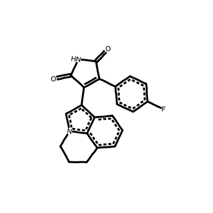 O=C1NC(=O)C(c2cn3c4c(cccc24)CCC3)=C1c1ccc(F)cc1